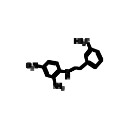 Nc1cc([N+](=O)[O-])ccc1NCCc1cccc(C(=O)O)c1